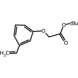 C=Cc1cccc(OCC(=O)OC(C)(C)C)c1